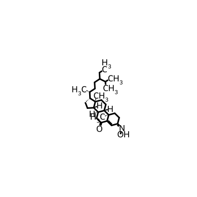 CCC(CC[C@@H](C)[C@H]1CC[C@H]2[C@@H]3CC(=O)C4=C/C(=N\O)CC[C@]4(C)[C@H]3CC[C@]12C)C(C)C